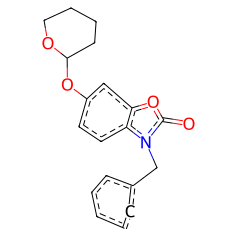 O=c1oc2cc(OC3CCCCO3)ccc2n1Cc1ccccc1